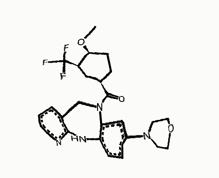 CO[C@H]1CC[C@@H](C(=O)N2Cc3cccnc3Nc3ccc(N4CCOCC4)cc32)C[C@H]1C(F)(F)F